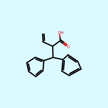 C=CC(C(=O)O)C(c1ccccc1)c1ccccc1